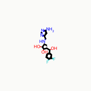 Nc1cc(CN[C@@H]2C[C@H]([C@@H](O)c3ccc(F)c(F)c3)[C@@H](O)[C@H]2O)ncn1